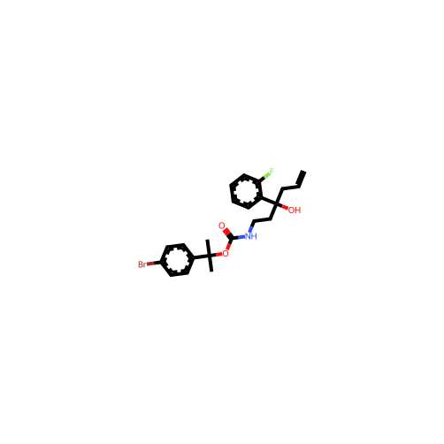 C=CCC(O)(CCNC(=O)OC(C)(C)c1ccc(Br)cc1)c1ccccc1F